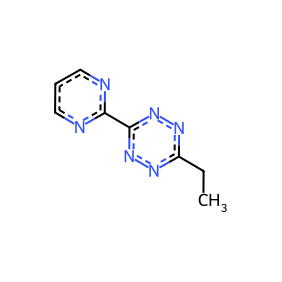 CCc1nnc(-c2ncccn2)nn1